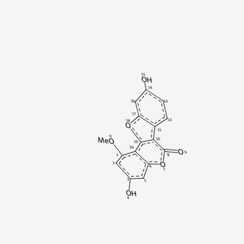 COc1cc(O)cc2oc(=O)c3c4ccc(O)cc4oc3c12